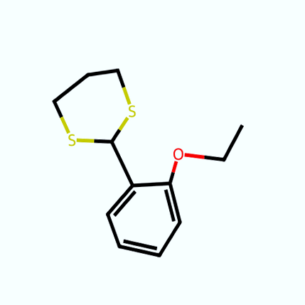 CCOc1ccccc1C1SCCCS1